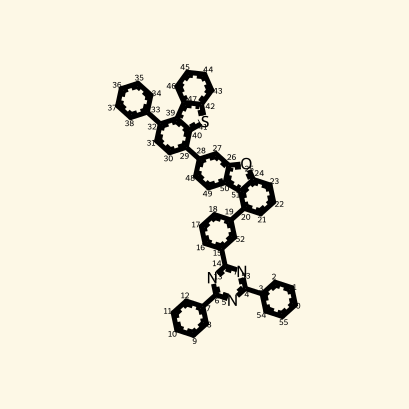 c1ccc(-c2nc(-c3ccccc3)nc(-c3cccc(-c4cccc5oc6cc(-c7ccc(-c8ccccc8)c8c7sc7ccccc78)ccc6c45)c3)n2)cc1